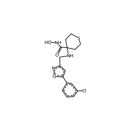 O=C(NO)C1(NCc2cc(-c3cccc(Cl)c3)on2)CCSCC1